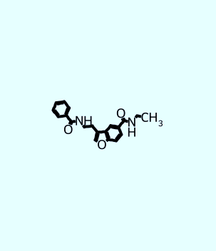 CCNC(=O)c1ccc2occ(CCNC(=O)c3ccccc3)c2c1